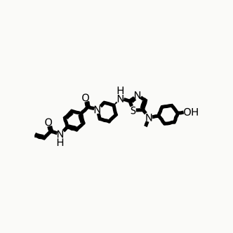 C=CC(=O)Nc1ccc(C(=O)N2CCC[C@@H](Nc3ncc(N(C)C4CCC(O)CC4)s3)C2)cc1